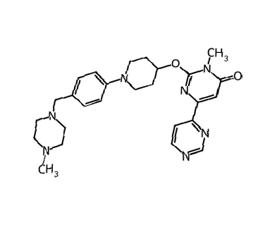 CN1CCN(Cc2ccc(N3CCC(Oc4nc(-c5ccncn5)cc(=O)n4C)CC3)cc2)CC1